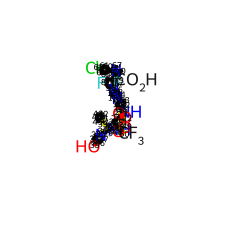 Cc1c(C(=O)O)c(-c2cc(F)cc(N3CCN(c4ccc(NS(=O)(=O)c5ccc(N[C@H](CCN6CCC(O)CC6)CSc6ccccc6)c(S(=O)(=O)C(F)(F)F)c5)cc4)CC3)c2F)c(-c2ccc(Cl)cc2)n1C